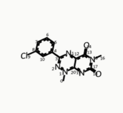 Cn1nc(-c2cccc(Cl)c2)nc2c(=O)n(C)c(=O)nc1-2